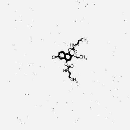 CCCNC(=O)Oc1cc(OCC)c(OC(=O)NCCC)c2ccc(Cl)cc12